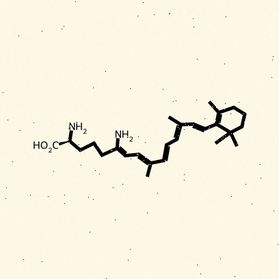 CC(C=CC1=C(C)CCCC1(C)C)=CC=CC(C)=CC=C(N)CCC[C@H](N)C(=O)O